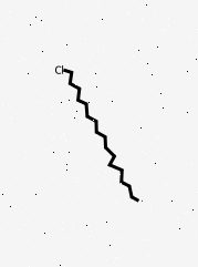 [CH2]CCCCCCCCCCCCCCCCCl